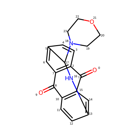 O=C1c2ccc3cc2C(=O)c2ccc(cc21)NC3N1CCOCC1